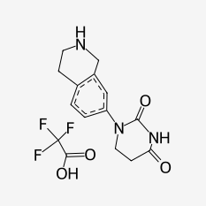 O=C(O)C(F)(F)F.O=C1CCN(c2ccc3c(c2)CNCC3)C(=O)N1